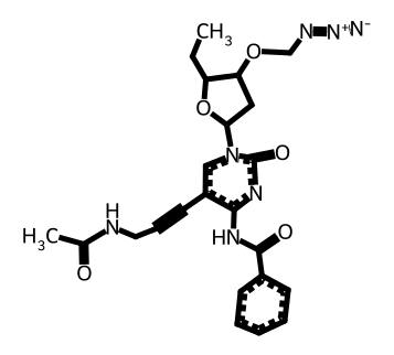 CCC1OC(n2cc(C#CCNC(C)=O)c(NC(=O)c3ccccc3)nc2=O)CC1OCN=[N+]=[N-]